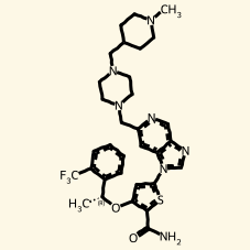 C[C@@H](Oc1cc(-n2cnc3cnc(CN4CCN(CC5CCN(C)CC5)CC4)cc32)sc1C(N)=O)c1ccccc1C(F)(F)F